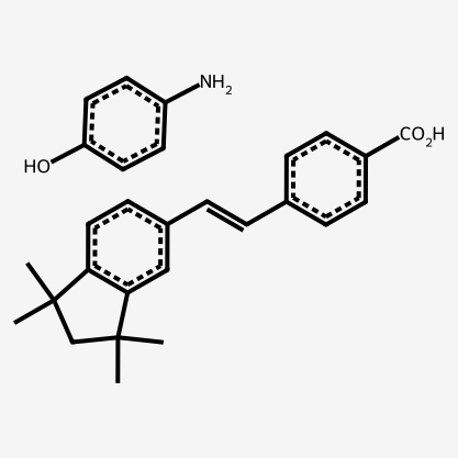 CC1(C)CC(C)(C)c2cc(C=Cc3ccc(C(=O)O)cc3)ccc21.Nc1ccc(O)cc1